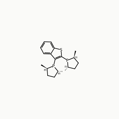 C[C@@H]1CC[C@@H](C)P1c1c(P2[C@@H](C)CC[C@@H]2C)sc2ccccc12